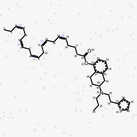 CC/C=C\C/C=C\C/C=C\C/C=C\C/C=C\CCCC(=O)Oc1cccc2c1CC[C@H](N(CCC)CCc1cccs1)C2